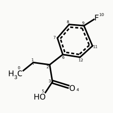 C[CH]C(C(=O)O)c1ccc(F)cc1